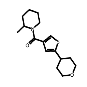 CC1CCCCN1C(=O)c1csc(C2CCOCC2)c1